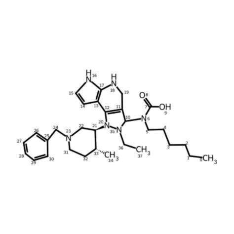 CCCCCCN(C(=O)O)C1C2=C(c3cc[nH]c3NC2)N([C@@H]2CN(Cc3ccccc3)CC[C@H]2C)N1CC